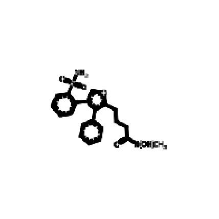 CN(O)C(=O)CCCc1occ(-c2ccccc2S(N)(=O)=O)c1-c1ccccc1